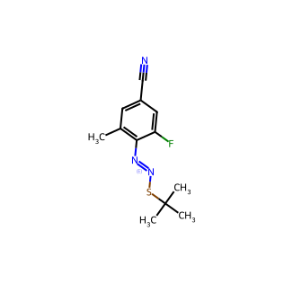 Cc1cc(C#N)cc(F)c1/N=N/SC(C)(C)C